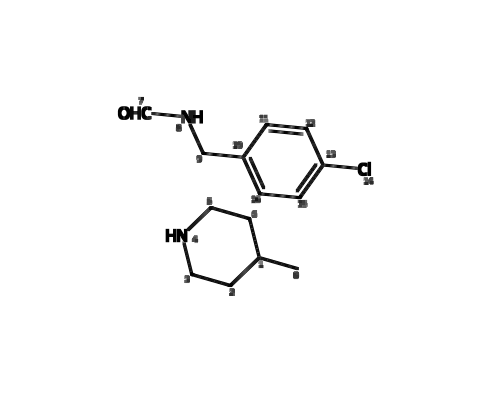 CC1CCNCC1.O=CNCc1ccc(Cl)cc1